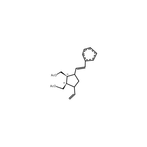 C=CC1CC(C=Cc2ccccc2)[C@H](COC(C)=O)[C@@H]1COC(C)=O